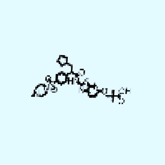 CN1CCN(S(=O)(=O)c2ccc([C@@H](CC3CCCC3)C(=O)Nc3nc4ccc(OCC(C)(C)C(=O)O)nc4s3)cc2)CC1